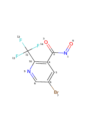 O=NC(=O)c1cc(Br)cnc1C(F)(F)F